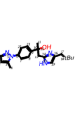 Cc1cc(C)n(-c2ccc(C(C)(O)Cc3nc(CC(C)(C)C)c[nH]3)cc2)n1